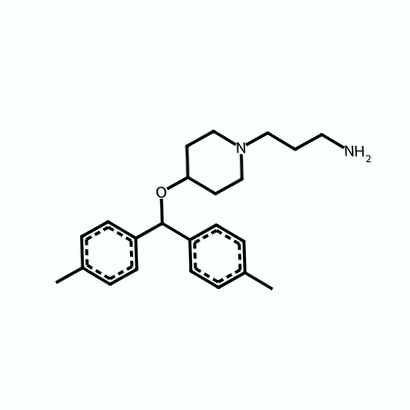 Cc1ccc(C(OC2CCN(CCCN)CC2)c2ccc(C)cc2)cc1